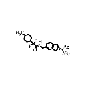 CCCCC(C(C)=O)N1Cc2ccc(CNC(=O)C(F)(F)C3CCC(C)CC3)cc2C1